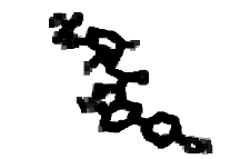 CCCS(=O)(=O)Nc1ccc(F)c(C(=O)c2c[nH]c3ncc(-c4ccc(O)cc4)cc23)c1F